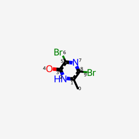 Cc1[nH]c(=O)c(Br)nc1Br